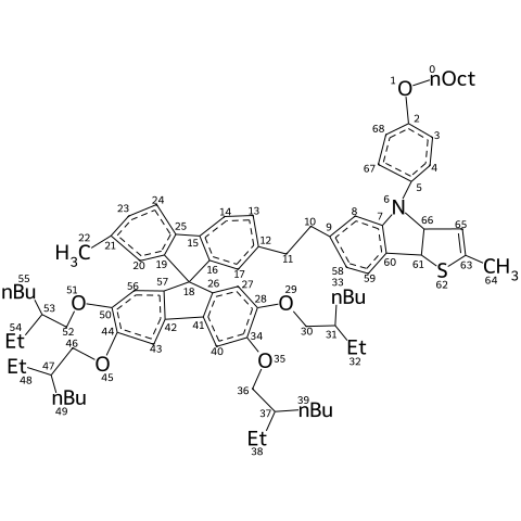 CCCCCCCCOc1ccc(N2c3cc(CCc4ccc5c(c4)C4(c6cc(C)ccc6-5)c5cc(OCC(CC)CCCC)c(OCC(CC)CCCC)cc5-c5cc(OCC(CC)CCCC)c(OCC(CC)CCCC)cc54)ccc3C3SC(C)=CC32)cc1